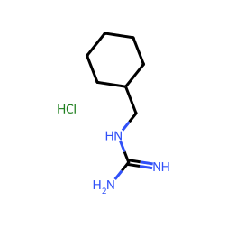 Cl.N=C(N)NCC1CCCCC1